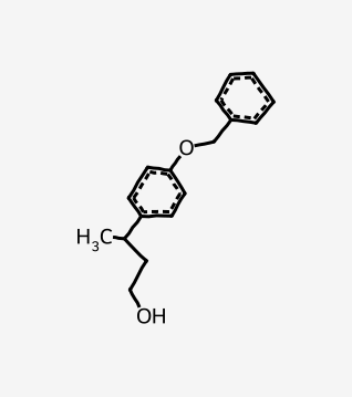 CC(CCO)c1ccc(OCc2ccccc2)cc1